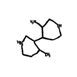 CC1CCNCC1C1CCNCC1N